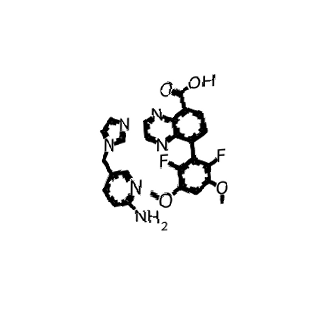 COc1cc(OC)c(F)c(-c2ccc(C(=O)O)c3nccnc23)c1F.Nc1ccc(Cn2ccnc2)cn1